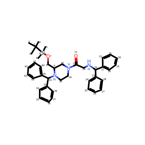 CC(C)(C)[Si](C)(C)OCC1CN(C(=O)CNC(c2ccccc2)c2ccccc2)CCN1C(c1ccccc1)c1ccccc1